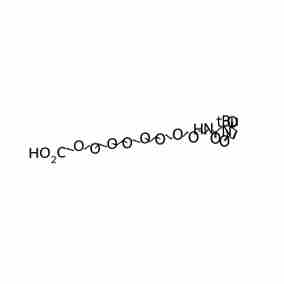 CC(C)(C)C(C(=O)NCCOCCOCCOCCOCCOCCOCCOCCOCCC(=O)O)N1C(=O)C=CC1=O